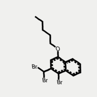 CCCCCOc1cc(C(Br)Br)c(Br)c2ccccc12